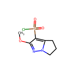 COc1nn2c(c1S(=O)(=O)Cl)CCC2